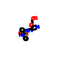 O=C1CCCC(NCc2ccncc2OCCO)=C1C(=S)Nc1ccccc1